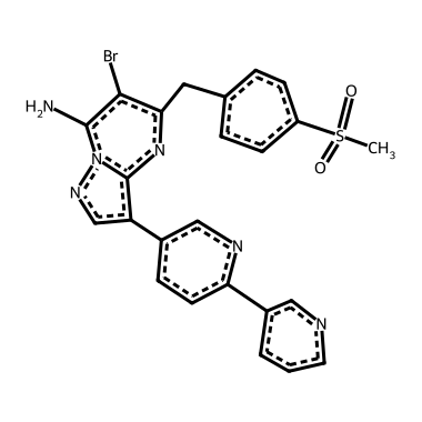 CS(=O)(=O)c1ccc(Cc2nc3c(-c4ccc(-c5cccnc5)nc4)cnn3c(N)c2Br)cc1